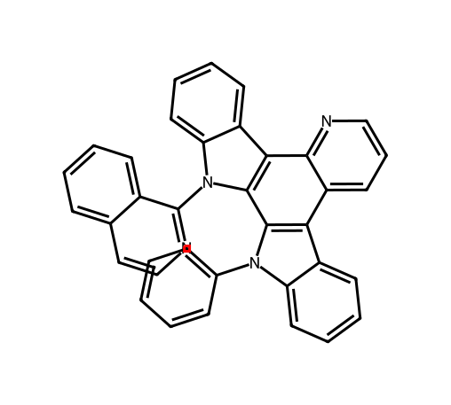 c1ccc(-n2c3ccccc3c3c4cccnc4c4c5ccccc5n(-c5nccc6ccccc56)c4c32)cc1